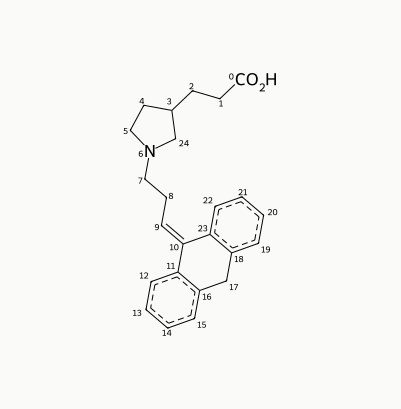 O=C(O)CCC1CCN(CCC=C2c3ccccc3Cc3ccccc32)C1